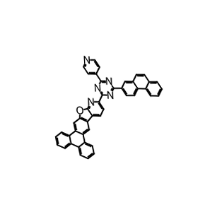 c1ccc2c(c1)ccc1cc(-c3nc(-c4ccncc4)nc(-c4ccc5c(n4)oc4cc6c7ccccc7c7ccccc7c6cc45)n3)ccc12